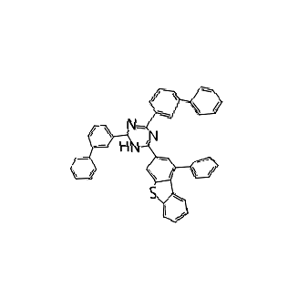 c1ccc(-c2cccc(C3=NC(c4cccc(-c5ccccc5)c4)NC(c4cc(-c5ccccc5)c5c(c4)sc4ccccc45)=N3)c2)cc1